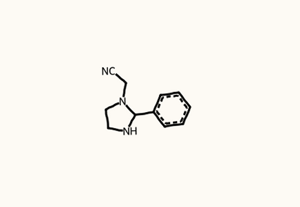 N#CCN1CCNC1c1ccccc1